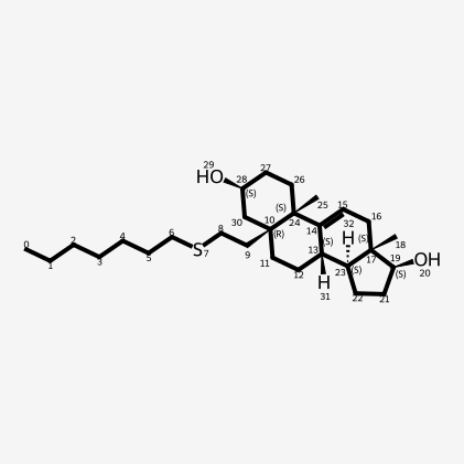 CCCCCCCSCC[C@]12CC[C@@H]3C(=CC[C@]4(C)[C@@H](O)CC[C@@H]34)[C@@]1(C)CC[C@H](O)C2